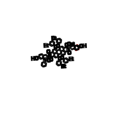 CCc1cccc(Oc2cc3c4c(cc(Oc5cccc(CC)c5)c5c6c(Oc7cccc(CC)c7)cc7c8c(cc(Oc9cccc(CC)c9)c(c2c45)c86)C(=O)N(C(Cc2ccc(O)cc2)C(=O)N(C)c2ccccc2)C7=O)C(=O)N(C(Cc2ccc(O)cc2)C(=O)N(C)c2ccccc2)C3=O)c1